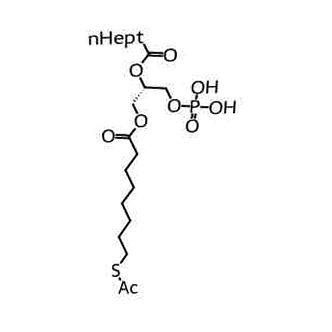 CCCCCCCC(=O)O[C@@H](COC(=O)CCCCCCCSC(C)=O)COP(=O)(O)O